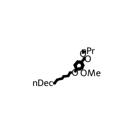 CCCCCCCCCCCCCCCCOc1ccc(C(=O)OCCC)cc1OC